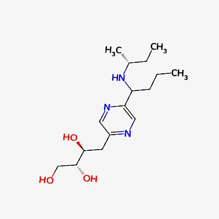 CCCC(N[C@H](C)CC)c1cnc(C[C@H](O)[C@H](O)CO)cn1